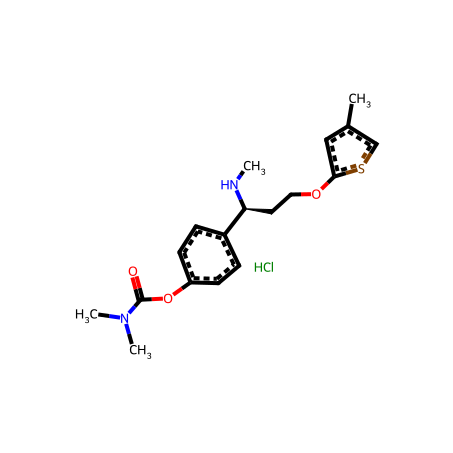 CN[C@@H](CCOc1cc(C)cs1)c1ccc(OC(=O)N(C)C)cc1.Cl